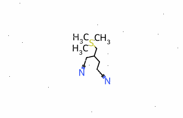 CS(C)(C)CC(CC#N)CCC#N